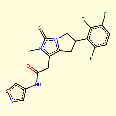 Cn1c(CC(=O)Nc2cnsc2)c2n(c1=S)CC(c1c(F)ccc(F)c1F)C2